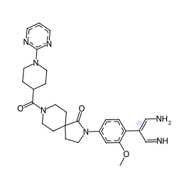 COc1cc(N2CCC3(CCN(C(=O)C4CCN(c5ncccn5)CC4)CC3)C2=O)ccc1/C(C=N)=C/N